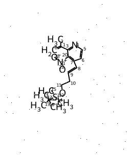 C=C(C)c1nccc(C=CCCO[Si](C)(C)C(C)(C)C)c1[N+](=O)[O-]